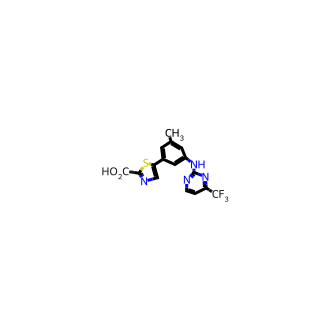 Cc1cc(Nc2nccc(C(F)(F)F)n2)cc(-c2cnc(C(=O)O)s2)c1